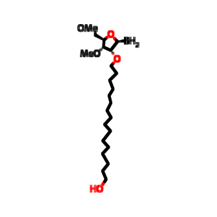 B[C@@H]1O[C@H](COC)[C@@H](OC)[C@H]1OCCCCCCCCCCCCCCCCO